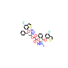 NC(C[C@@H](Oc1ccc(F)c2ccsc12)c1ccccc1)OC(=O)C(=O)OC(N)C[C@@H](Oc1ccc(F)c2ccsc12)c1ccccc1